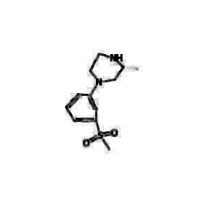 C[C@@H]1CN(c2cccc(S(C)(=O)=O)c2)CCN1